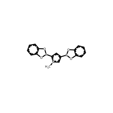 Cn1cc(B2Oc3ccccc3O2)cc1B1Oc2ccccc2O1